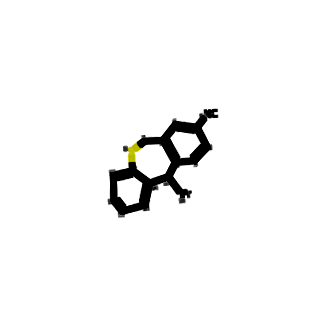 [C-]#[N+]c1ccc2c(c1)CSc1ccccc1C2C(C)C